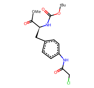 COC(=O)[C@H](Cc1ccc(NC(=O)CCl)cc1)NC(=O)OC(C)(C)C